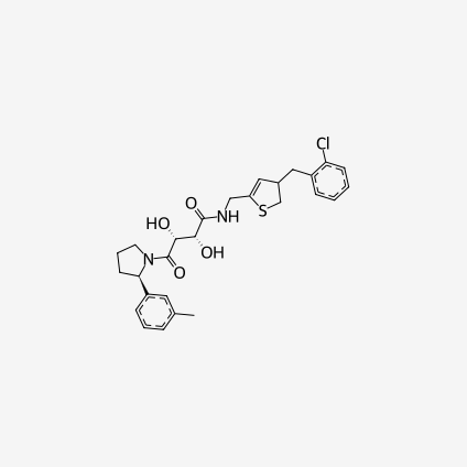 Cc1cccc([C@H]2CCCN2C(=O)[C@H](O)[C@@H](O)C(=O)NCC2=CC(Cc3ccccc3Cl)CS2)c1